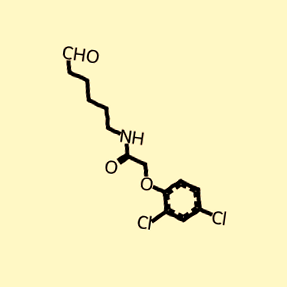 O=CCCCCCNC(=O)COc1ccc(Cl)cc1Cl